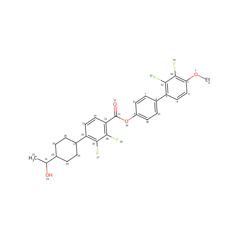 CCOc1ccc(-c2ccc(OC(=O)c3ccc(C4CCC(C(C)O)CC4)c(F)c3F)cc2)c(F)c1F